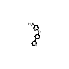 Nc1ccc(Oc2ccc(-c3cccnc3)cc2)nc1